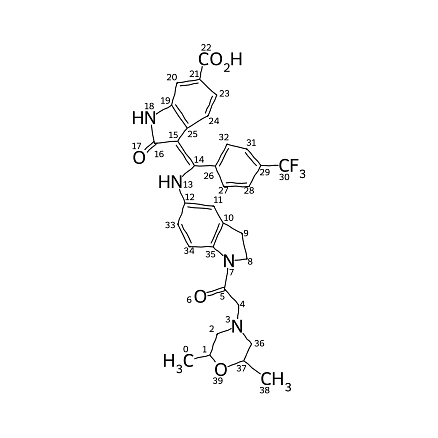 CC1CN(CC(=O)N2CCc3cc(N/C(=C4\C(=O)Nc5cc(C(=O)O)ccc54)c4ccc(C(F)(F)F)cc4)ccc32)CC(C)O1